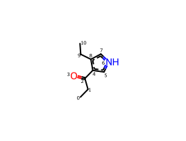 CCC(=O)c1c[nH]cc1CC